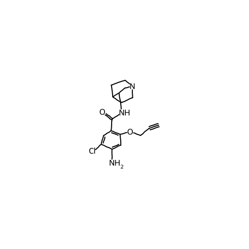 C#CCOc1cc(N)c(Cl)cc1C(=O)NC1CN2CCC1CC2